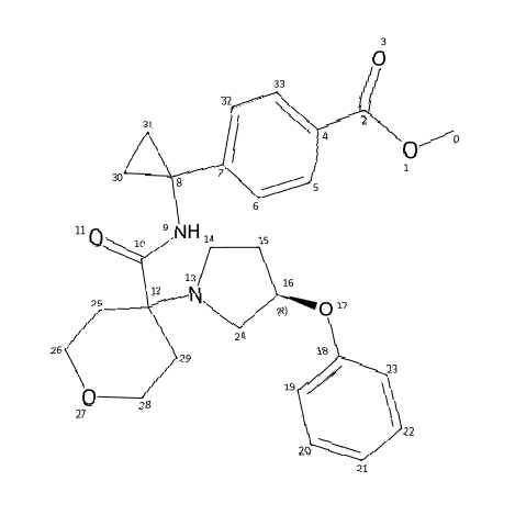 COC(=O)c1ccc(C2(NC(=O)C3(N4CC[C@@H](Oc5ccccc5)C4)CCOCC3)CC2)cc1